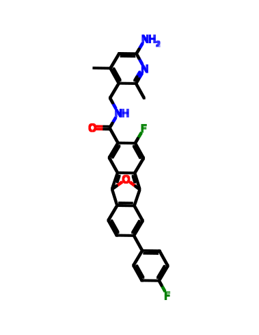 Cc1cc(N)nc(C)c1CNC(=O)c1cc2c(cc1F)c1oc2c2ccc(-c3ccc(F)cc3)cc21